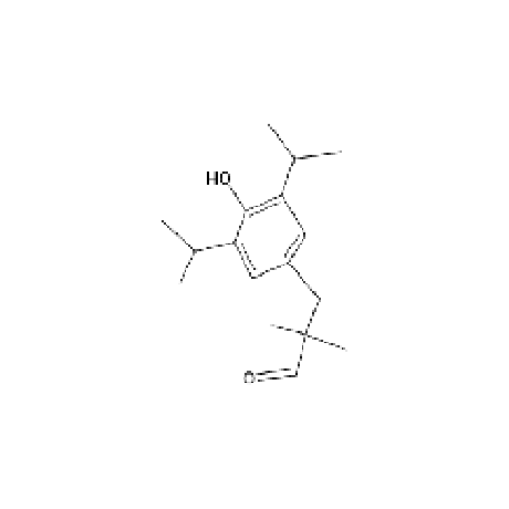 CC(C)c1cc(CC(C)(C)C=O)cc(C(C)C)c1O